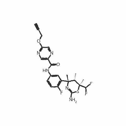 C#CCOc1cnc(C(=O)Nc2ccc(F)c([C@@]3(C)N=C(N)S[C@](C)(C(F)F)[C@H]3C)c2)cn1